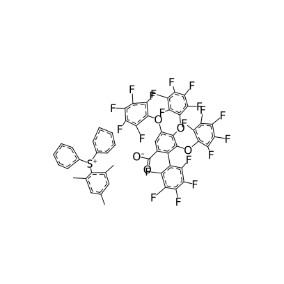 Cc1cc(C)c([S+](c2ccccc2)c2ccccc2)c(C)c1.O=C([O-])c1cc(Oc2c(F)c(F)c(F)c(F)c2F)c(Oc2c(F)c(F)c(F)c(F)c2F)c(Oc2c(F)c(F)c(F)c(F)c2F)c1-c1c(F)c(F)c(F)c(F)c1F